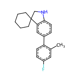 Cc1cc(F)ccc1-c1ccc2c(c1)C1(CCCCC1)CN2